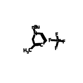 CCCCN1C=C[C+]=C(C)C1.F[B-](F)(F)F